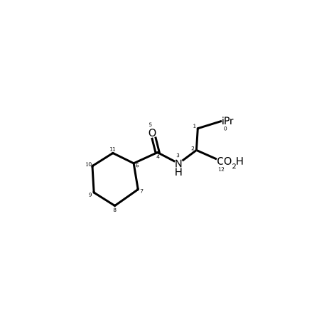 CC(C)CC(NC(=O)C1CCCCC1)C(=O)O